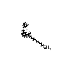 CCCCCCCCCCCCNC(=O)c1cccc(CNCc2ccncc2)c1